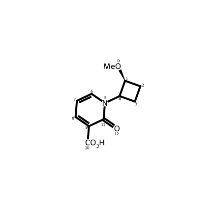 CO[C@H]1CCC1n1cccc(C(=O)O)c1=O